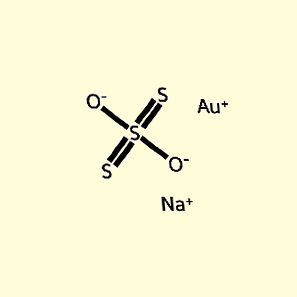 [Au+].[Na+].[O-]S([O-])(=S)=S